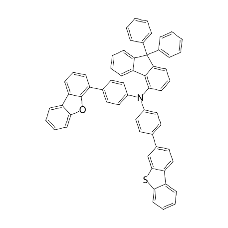 c1ccc(C2(c3ccccc3)c3ccccc3-c3c(N(c4ccc(-c5ccc6c(c5)sc5ccccc56)cc4)c4ccc(-c5cccc6c5oc5ccccc56)cc4)cccc32)cc1